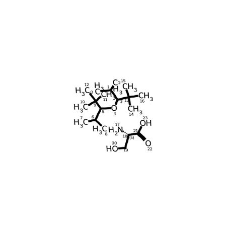 CC(C)C(OC(C(C)C)C(C)(C)C)C(C)(C)C.N[C@@H](CO)C(=O)O